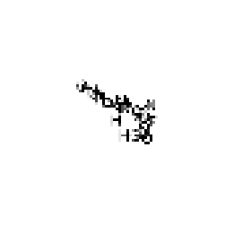 Cc1cc(-c2ncnc(Nc3ccc(N4CCN(C5COC5)CC4)cc3)n2)cc(C#N)c1OC1CCN(C(=O)[C@H](C)O)CC1F